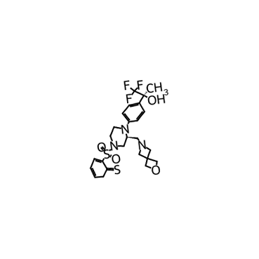 C[C@](O)(c1ccc(N2CCN(S(=O)(=O)C3=CC=CCC3=S)C[C@@H]2CN2CC3(COC3)C2)cc1)C(F)(F)F